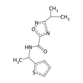 CC(C)c1noc(C(=O)NC(C)c2cccs2)n1